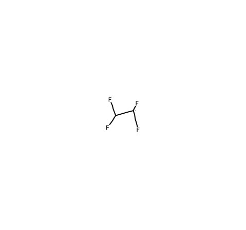 F[C](F)C(F)F